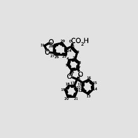 O=C(O)/C(=C/c1ccc2c(c1)OC(c1ccccc1)(c1ccccc1)O2)c1ccc2c(c1)OCO2